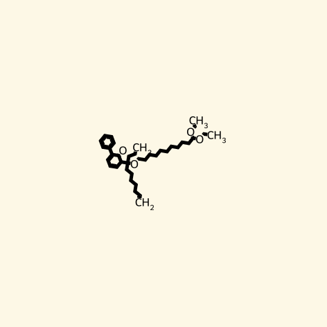 C=CCCCCCC(CCC)(OCCCCCCCCCCC(OCC)OCC)C1C=CC=C(c2ccccc2)C1=O